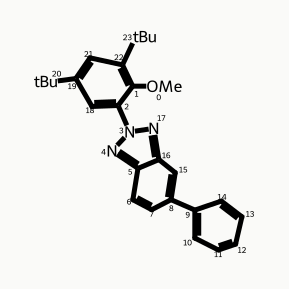 COc1c(-n2nc3ccc(-c4ccccc4)cc3n2)cc(C(C)(C)C)cc1C(C)(C)C